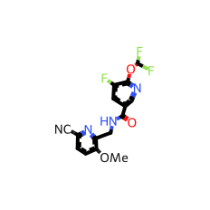 COc1ccc(C#N)nc1CNC(=O)c1cnc(OC(F)F)c(F)c1